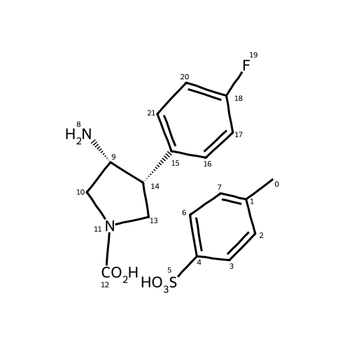 Cc1ccc(S(=O)(=O)O)cc1.N[C@H]1CN(C(=O)O)C[C@H]1c1ccc(F)cc1